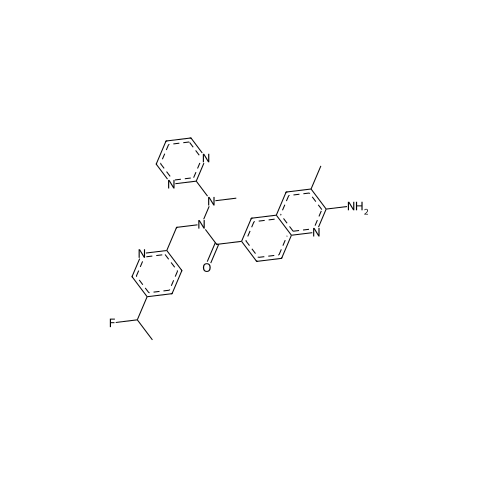 Cc1cc2cc(C(=O)N(Cc3ccc(C(C)F)cn3)N(C)c3ncccn3)ccc2nc1N